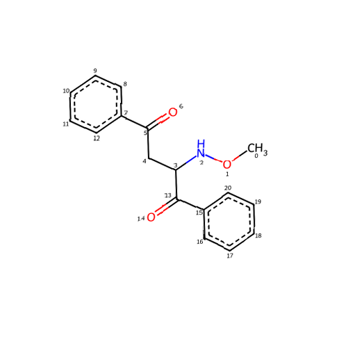 CONC(CC(=O)c1ccccc1)C(=O)c1ccccc1